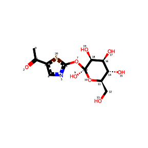 CC(=O)c1cnc(O[C@]2(O)O[C@H](CO)[C@@H](O)[C@H](O)[C@@H]2O)s1